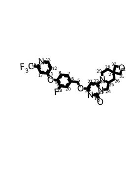 O=c1nc(OCc2ccc(Oc3ccnc(C(F)(F)F)c3)c(F)c2)cc2n1CC1CC3(CCN21)COC3